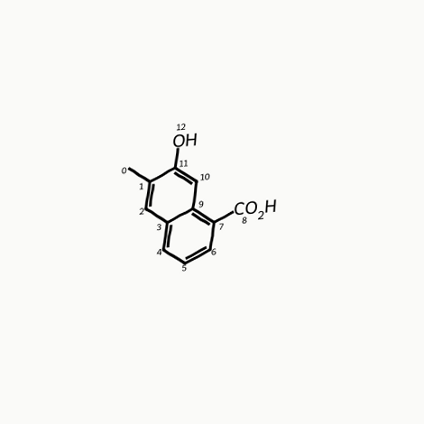 Cc1cc2cccc(C(=O)O)c2cc1O